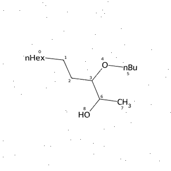 CCCCCCCCC(OCCCC)C(C)O